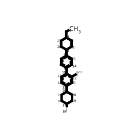 CCC1CCC(c2ccc(-c3ccc(C4CCC(I)CC4)cc3I)cc2)CC1